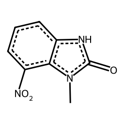 Cn1c(=O)[nH]c2cccc([N+](=O)[O-])c21